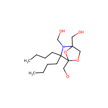 CCCCC1(CCCC)N(CO)C2(CO)COC1(C[O])O2